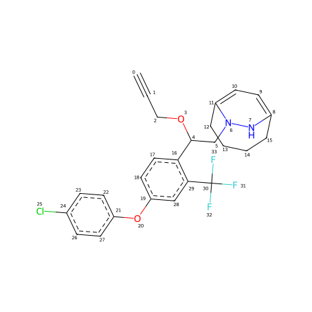 C#CCOC(CN1NC2=CC=C1CCCC2)c1ccc(Oc2ccc(Cl)cc2)cc1C(F)(F)F